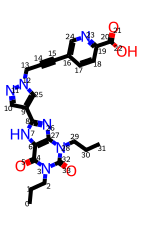 CCCn1c(=O)c2[nH]c(-c3cnn(CC#Cc4ccc(C(=O)O)nc4)c3)nc2n(CCC)c1=O